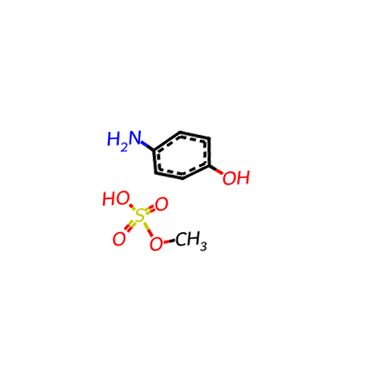 COS(=O)(=O)O.Nc1ccc(O)cc1